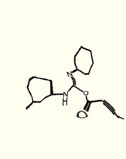 CC#CC(=O)O/C(=N\C1CCCCC1)NC1CCCC(C)C1